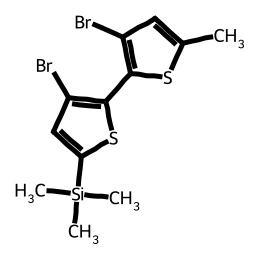 Cc1cc(Br)c(-c2sc([Si](C)(C)C)cc2Br)s1